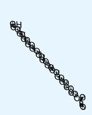 O=BC(=O)OOOOOOOOOOOOOOOOOOOOOOOOOOOO